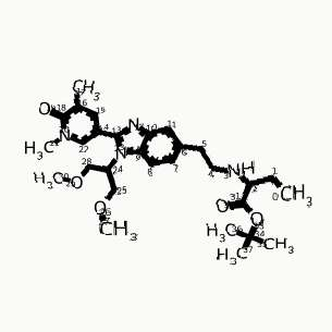 CCC(NCCc1ccc2c(c1)nc(-c1cc(C)c(=O)n(C)c1)n2C(COC)COC)C(=O)OC(C)(C)C